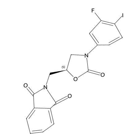 O=C1c2ccccc2C(=O)N1C[C@H]1CN(c2ccc(I)c(F)c2)C(=O)O1